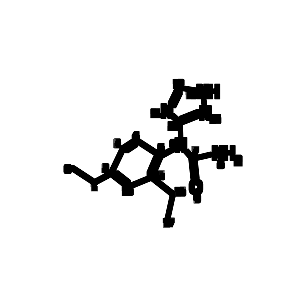 CCc1ccc(N(C(N)=O)c2nc[nH]n2)c(CC)c1